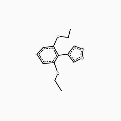 CCOc1c[c]cc(OCC)c1-c1cnoc1